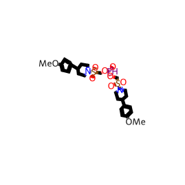 COc1ccc(C2CCN(S(=O)(=O)CO[PH](=O)OCS(=O)(=O)N3CCC(c4ccc(OC)cc4)CC3)CC2)cc1